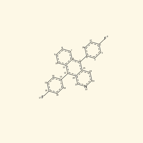 Fc1ccc(-c2c3ccccc3c(-c3ccc(F)cc3)c3cnccc23)cc1